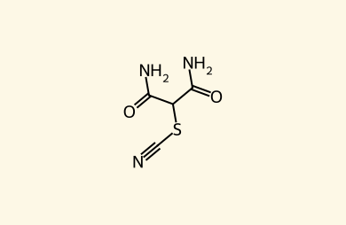 N#CSC(C(N)=O)C(N)=O